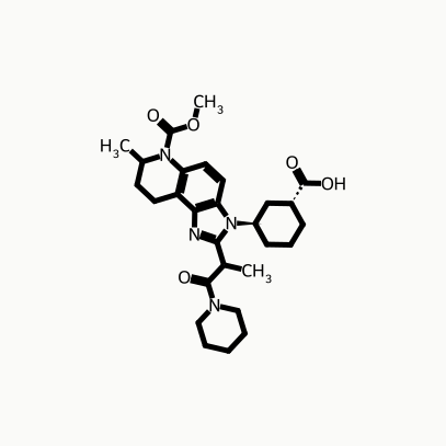 COC(=O)N1c2ccc3c(nc(C(C)C(=O)N4CCCCC4)n3[C@@H]3CCC[C@@H](C(=O)O)C3)c2CCC1C